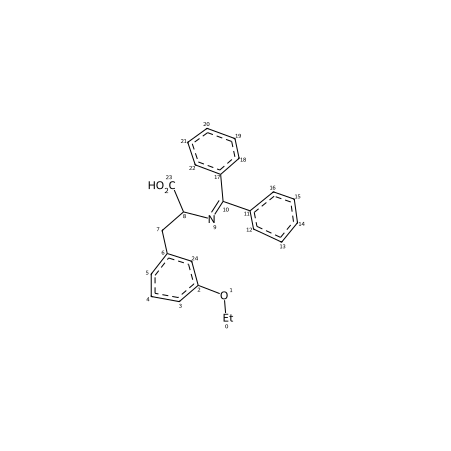 CCOc1cccc(CC(N=C(c2ccccc2)c2ccccc2)C(=O)O)c1